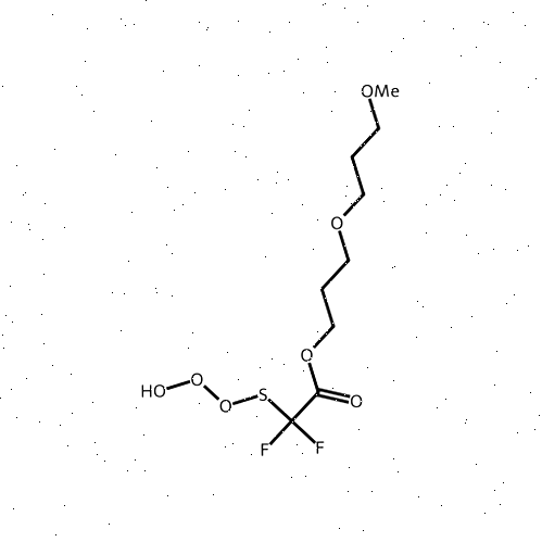 COCCCOCCCOC(=O)C(F)(F)SOOO